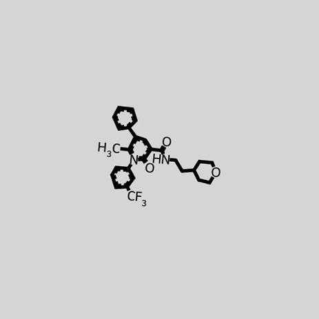 Cc1c(-c2ccccc2)cc(C(=O)NCCC2CCOCC2)c(=O)n1-c1cccc(C(F)(F)F)c1